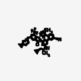 CC(CC1CC1)Nc1cc(-c2cc(C#N)ccc2-c2nncn2C)cc(N2Cc3c(cc(CN4CCC5(CC5)C4)cc3C(F)(F)F)C2=O)n1